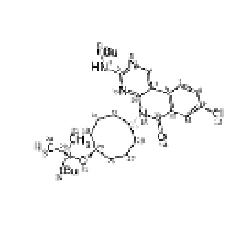 CCCCNc1ncc2c3ccc(Cl)cc3c(=O)n([C@H]3CCC[C@H](O[Si](C)(C)C(C)(C)C)CCC3)c2n1